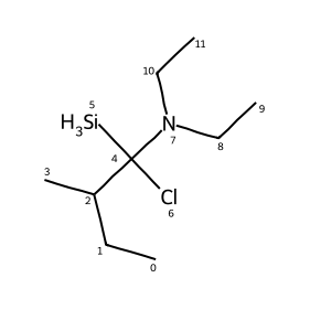 CCC(C)C([SiH3])(Cl)N(CC)CC